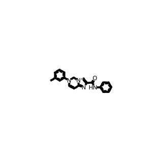 Cc1cccc(N2C=CC3=NC(C(=O)Nc4ccccc4)=C[N+]3C2)c1